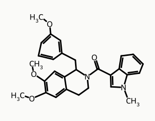 COc1cccc(CC2c3cc(OC)c(OC)cc3CCN2C(=O)c2cn(C)c3ccccc23)c1